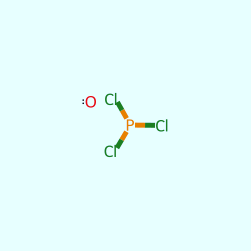 ClP(Cl)Cl.[O]